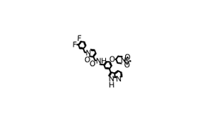 CS(=O)(=O)N1CCC(Oc2cc(CNC(=O)c3cccn(Cc4ccc(F)c(F)c4)c3=O)cc(-c3c[nH]c4ncccc34)c2)CC1